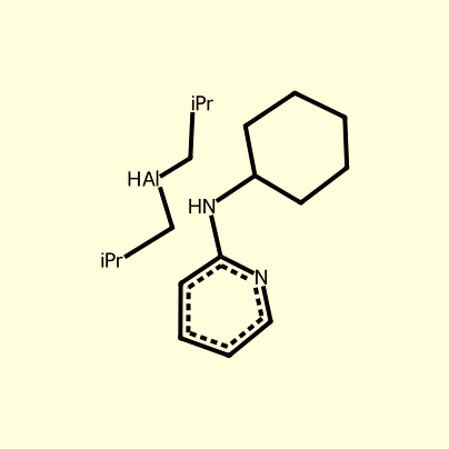 CC(C)[CH2][AlH][CH2]C(C)C.c1ccc(NC2CCCCC2)nc1